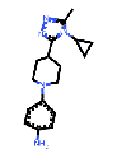 Cc1nnc(C2CCN(c3ccc(N)cc3)CC2)n1C1CC1